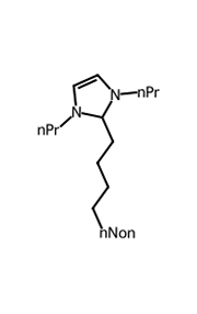 CCCCCCCCCCCCCC1N(CCC)C=CN1CCC